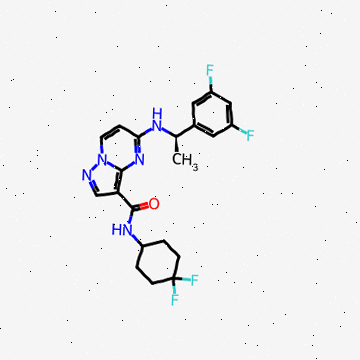 C[C@@H](Nc1ccn2ncc(C(=O)NC3CCC(F)(F)CC3)c2n1)c1cc(F)cc(F)c1